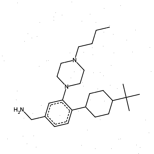 CCCCN1CCN(c2cc(CN)ccc2C2CCC(C(C)(C)C)CC2)CC1